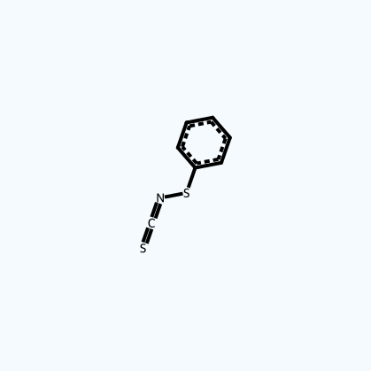 S=C=NSc1ccccc1